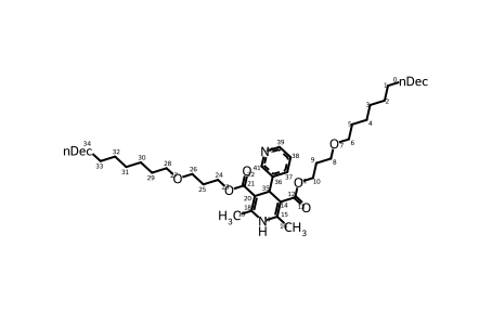 CCCCCCCCCCCCCCCCOCCCOC(=O)C1=C(C)NC(C)=C(C(=O)OCCCOCCCCCCCCCCCCCCCC)C1c1cccnc1